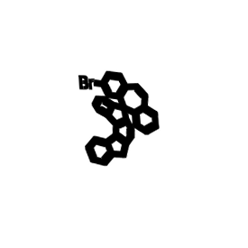 Brc1ccc2c(c1)C1(c3ccccc3C=C2)c2ccccc2-c2c1ccc1c2-c2ccccc2C1